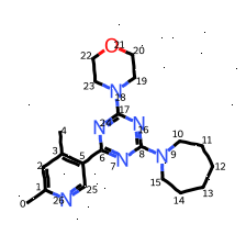 Cc1cc(C)c(-c2nc(N3CCCCCC3)nc(N3CCOCC3)n2)cn1